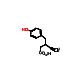 C#CC(CC(=O)O)Cc1ccc(O)cc1